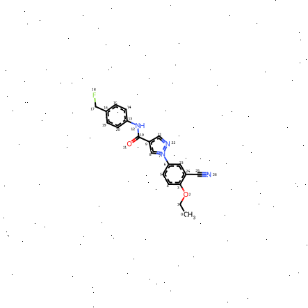 CCOc1ccc(-n2cc(C(=O)Nc3ccc(CF)cc3)cn2)cc1C#N